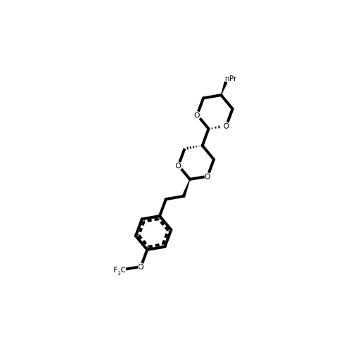 CCC[C@H]1CO[C@H]([C@H]2CO[C@H](CCc3ccc(OC(F)(F)F)cc3)OC2)OC1